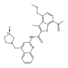 COCc1ccc(C(C)=O)c2sc(C(=O)Nc3cc(CN4CC[C@@H](F)C4)c4ccccc4n3)c(C)c12